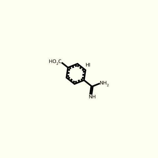 I.N=C(N)c1ccc(C(=O)O)cc1